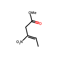 CC=C(CC(=O)OC)[N+](=O)[O-]